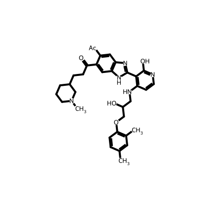 CC(=O)c1cc2nc(-c3c(NCC(O)COc4ccc(C)cc4C)ccnc3O)[nH]c2cc1C(=O)CCC1CCCN(C)C1